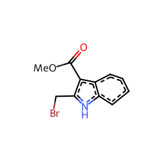 COC(=O)c1c(CBr)[nH]c2ccccc12